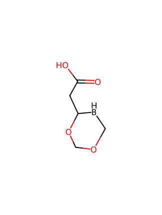 O=C(O)CC1BCOCO1